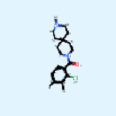 Cc1ccc(C(=O)N2CCC3(CCN(C)CC3)CC2)c(Cl)c1C